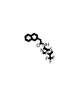 O=C(Cc1ccc2ccccc2c1)Nc1ncn2c(C(F)(F)F)csc12